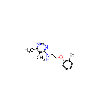 CCc1ccccc1OCCNc1ncnc(C)c1C